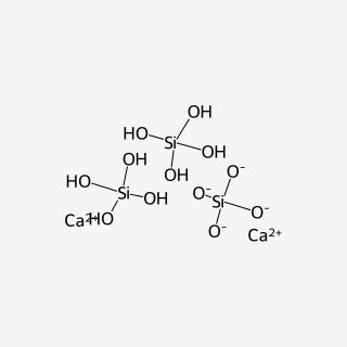 O[Si](O)(O)O.O[Si](O)(O)O.[Ca+2].[Ca+2].[O-][Si]([O-])([O-])[O-]